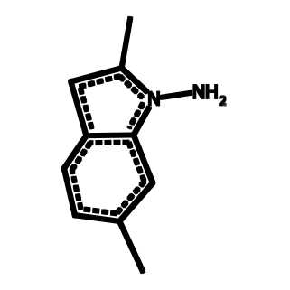 Cc1ccc2cc(C)n(N)c2c1